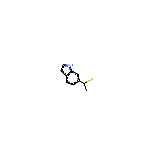 CC(S)c1ccc2cc[nH]c2c1